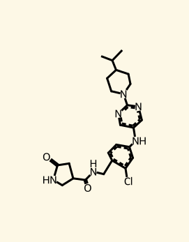 CC(C)C1CCN(c2ncc(Nc3ccc(CNC(=O)C4CNC(=O)C4)c(Cl)c3)cn2)CC1